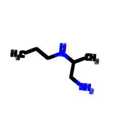 CCCNC(C)CN